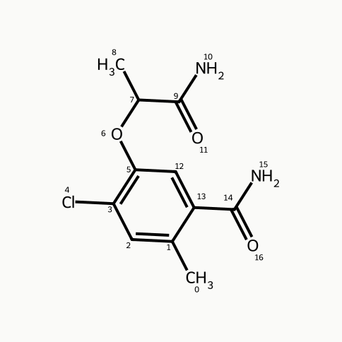 Cc1cc(Cl)c(OC(C)C(N)=O)cc1C(N)=O